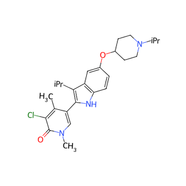 Cc1c(-c2[nH]c3ccc(OC4CCN(C(C)C)CC4)cc3c2C(C)C)cn(C)c(=O)c1Cl